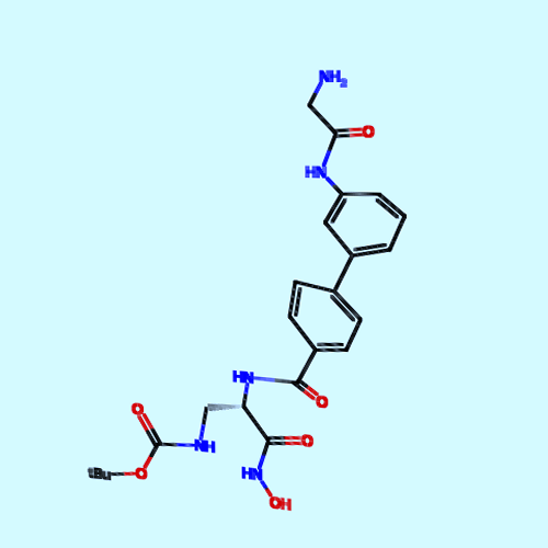 CC(C)(C)OC(=O)NC[C@H](NC(=O)c1ccc(-c2cccc(NC(=O)CN)c2)cc1)C(=O)NO